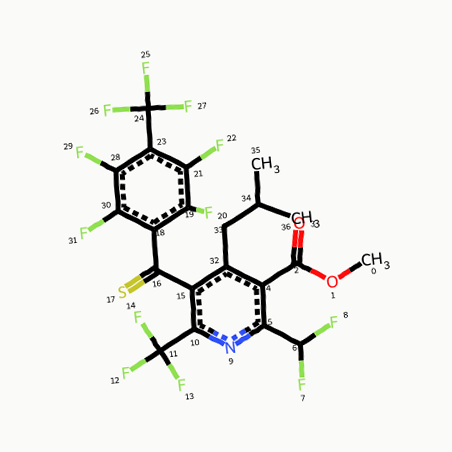 COC(=O)c1c(C(F)F)nc(C(F)(F)F)c(C(=S)c2c(F)c(F)c(C(F)(F)F)c(F)c2F)c1CC(C)C